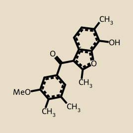 COc1cc(C(=O)c2c(C)oc3c(O)c(C)ccc23)cc(C)c1C